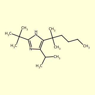 CCCCC(C)(C)c1[nH]c(C(C)(C)C)nc1C(C)C